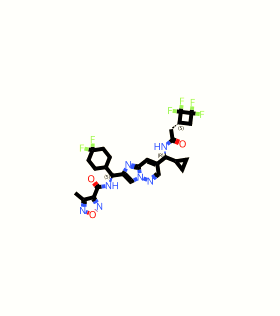 Cc1nonc1C(=O)N[C@H](c1cn2ncc([C@H](NC(=O)C[C@H]3CC(F)(F)C3(F)F)C3CC3)cc2n1)C1CCC(F)(F)CC1